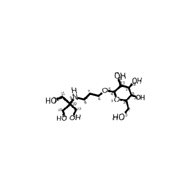 OCC1OC(OCCCNC(CO)(CO)CO)C(O)C(O)C1O